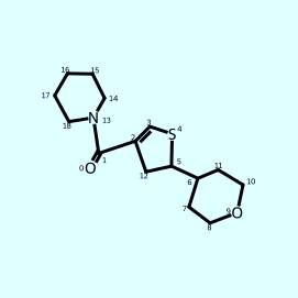 O=C(C1=CSC(C2CCOCC2)C1)N1CCCCC1